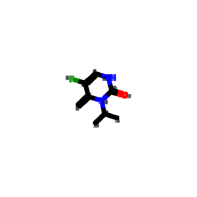 C=C1C(F)=CNC(=O)N1C(C)C